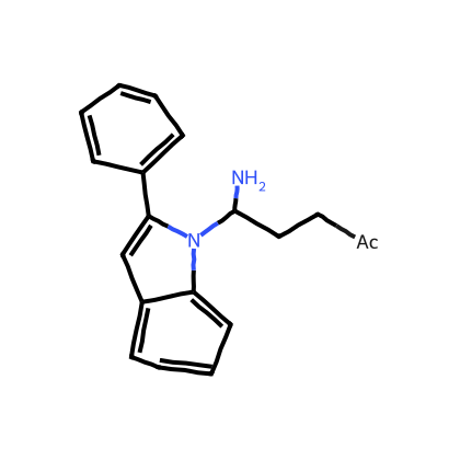 CC(=O)CCC(N)n1c(-c2ccccc2)cc2ccccc21